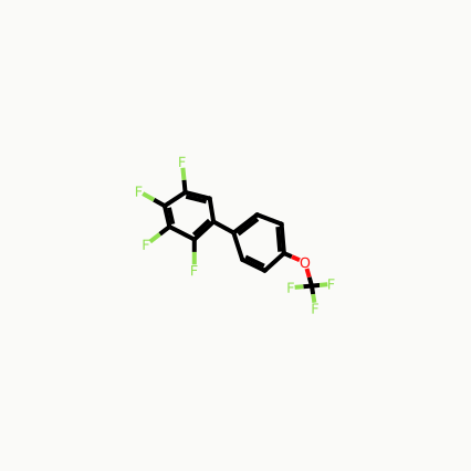 Fc1cc(-c2ccc(OC(F)(F)F)cc2)c(F)c(F)c1F